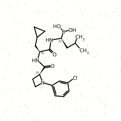 CC(C)C[C@@H](NC(=O)[C@H](CC1CC1)NC(=O)[C@@H]1CCN1c1cccc(Cl)c1)B(O)O